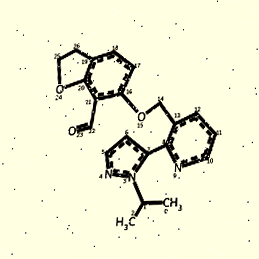 CC(C)n1nccc1-c1ncccc1COc1ccc2c(c1C=O)OCC2